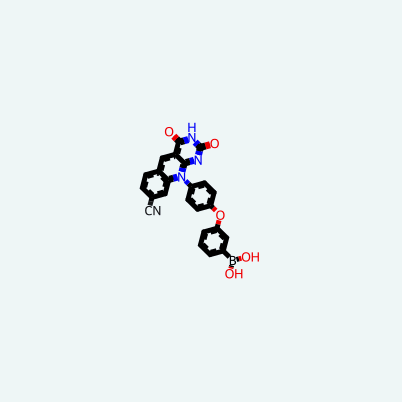 N#Cc1ccc2cc3c(=O)[nH]c(=O)nc-3n(-c3ccc(Oc4cccc(B(O)O)c4)cc3)c2c1